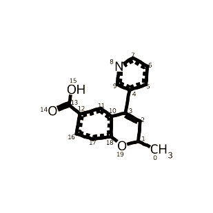 CC1C=C(c2cccnc2)c2cc(C(=O)O)ccc2O1